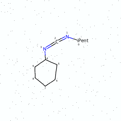 CCCC(C)N=C=NC1CCCCC1